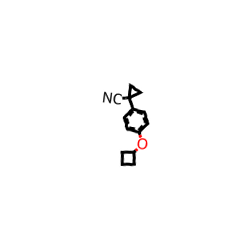 N#CC1(c2ccc(OC3CCC3)cc2)CC1